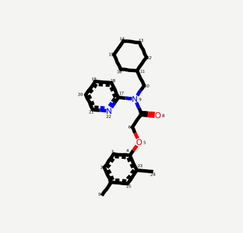 Cc1ccc(OCC(=O)N(CC2CCCCC2)c2ccccn2)c(C)c1